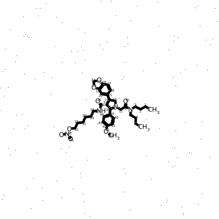 CCCCN(CCCC)C(=O)CN1CC(c2ccc3c(c2)OCO3)[C@@H](C(=O)NCCCCCCO[N+](=O)[O-])C1c1ccc(OC)cc1